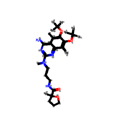 [2H]c1c(OC([2H])([2H])[2H])c(OC([2H])([2H])[2H])c(C)c2c(N)nc(N(C)CCCNC(=O)C3([2H])CCCO3)nc12